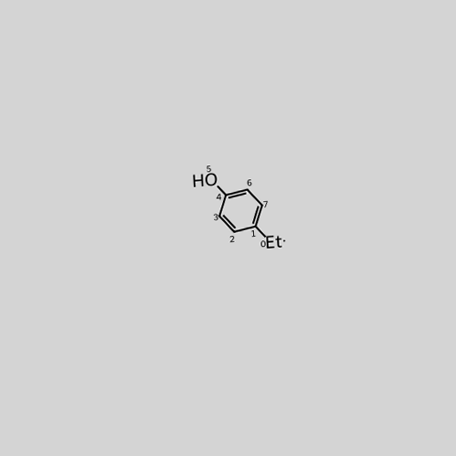 C[CH]c1ccc(O)cc1